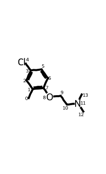 Cc1cc(Cl)ccc1OCCN(C)C